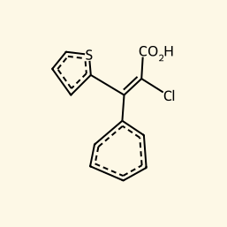 O=C(O)C(Cl)=C(c1ccccc1)c1cccs1